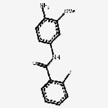 COc1cc(NC(=O)c2ccccc2F)ccc1N